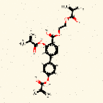 C=C(C)C(=O)OCCOC(=O)c1ccc(-c2ccc(OC(=O)C(=C)C)cc2)cc1OC(=O)C(=C)C